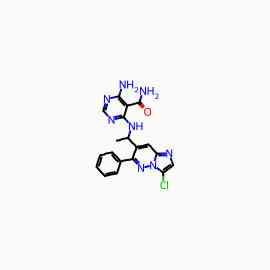 CC(Nc1ncnc(N)c1C(N)=O)c1cc2ncc(Cl)n2nc1-c1ccccc1